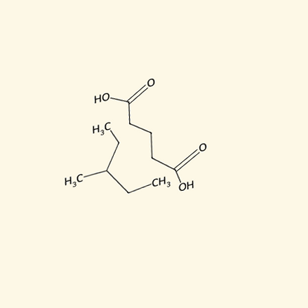 CCC(C)CC.O=C(O)CCCC(=O)O